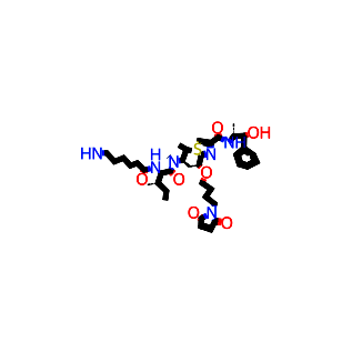 CC[C@H](C)[C@H](NC(=O)CCCCCNC)C(=O)N(C)[C@H](C[C@@H](OCCCCN1C(=O)C=CC1=O)c1nc(C(=O)N[C@H](C)C(O)c2ccccc2)cs1)C(C)C